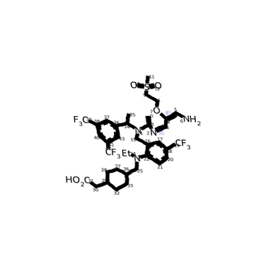 C=C(/N=C\C(=C/N)OCCS(C)(=O)=O)N(Cc1cc(C(F)(F)F)ccc1N(CC)CC1CCC(CC(=O)O)CC1)C(C)c1cc(C(F)(F)F)cc(C(F)(F)F)c1